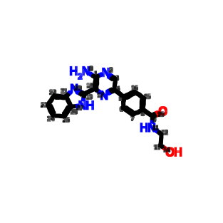 Nc1ncc(-c2ccc(C(=O)NCCO)cc2)nc1-c1nc2ccccc2[nH]1